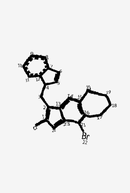 CC1=C(CC2C=Cc3ccccc32)C2=CC3=C(CCCC3)C(Br)C2=C1